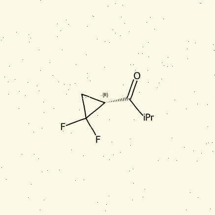 CC(C)C(=O)[C@H]1CC1(F)F